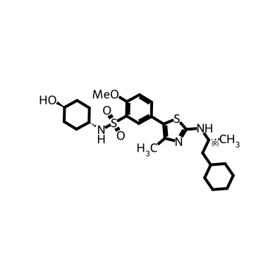 COc1ccc(-c2sc(N[C@H](C)CC3CCCCC3)nc2C)cc1S(=O)(=O)N[C@H]1CC[C@H](O)CC1